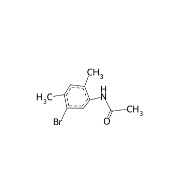 CC(=O)Nc1cc(Br)c(C)cc1C